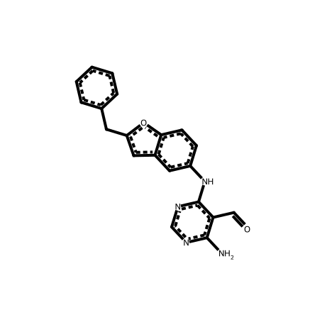 Nc1ncnc(Nc2ccc3oc(Cc4ccccc4)cc3c2)c1C=O